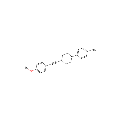 CCCCc1ccc(C2CCC(C#Cc3ccc(OCC)cc3)CC2)cc1